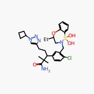 CCC1CN(Cc2cc(C(CCc3cn(C4CCC4)nn3)C(C)(C)C(N)=O)ccc2Cl)S(O)(O)c2ccccc2O1